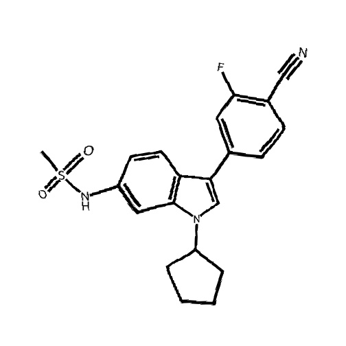 CS(=O)(=O)Nc1ccc2c(-c3ccc(C#N)c(F)c3)cn(C3CCCC3)c2c1